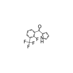 O=C(c1ccc[nH]1)c1cccc(C(F)(F)F)c1F